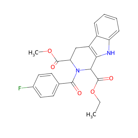 CCOC(=O)C1c2[nH]c3ccccc3c2CC(C(=O)OC)N1C(=O)c1ccc(F)cc1